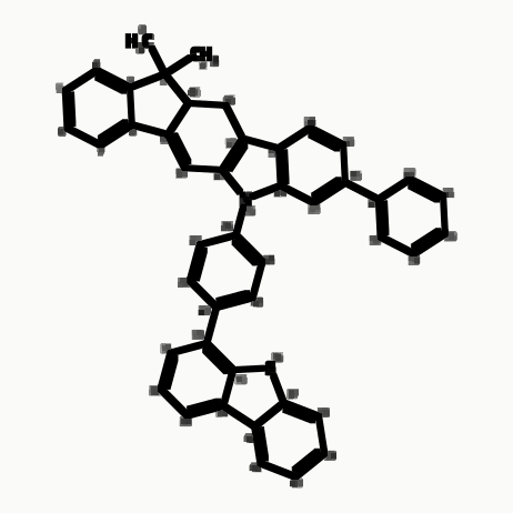 CC1(C)c2ccccc2C2=Cc3c(c4ccc(-c5ccccc5)cc4n3-c3ccc(-c4cccc5c4sc4ccccc45)cc3)CC21